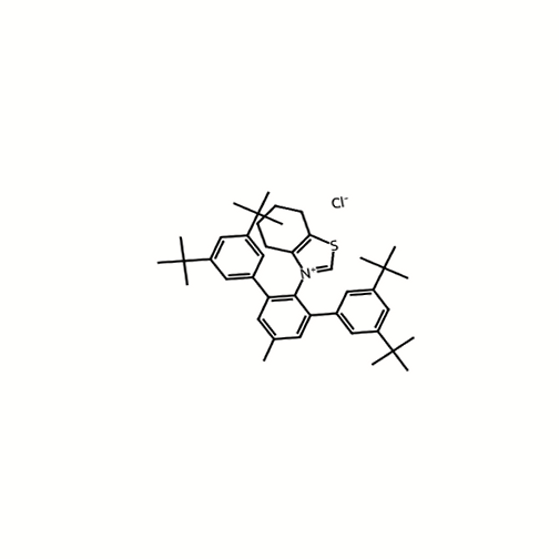 Cc1cc(-c2cc(C(C)(C)C)cc(C(C)(C)C)c2)c(-[n+]2csc3c2CCCC3)c(-c2cc(C(C)(C)C)cc(C(C)(C)C)c2)c1.[Cl-]